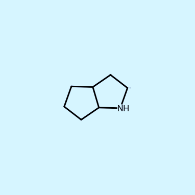 [CH]1CC2CCCC2N1